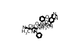 COc1cc2ncncc2c(Oc2cccc(NC(=O)Nc3cc(C(C)(C)C#N)nn3-c3ccccc3)c2)c1OC